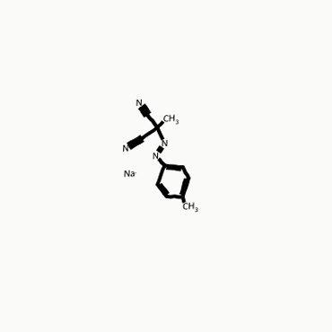 Cc1ccc(N=NC(C)(C#N)C#N)cc1.[Na]